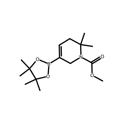 COC(=O)N1CC(B2OC(C)(C)C(C)(C)O2)=CCC1(C)C